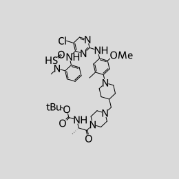 COc1cc(N2CCC(CN3CCN(C(=O)[C@H](C)NC(=O)OC(C)(C)C)CC3)CC2)c(C)cc1Nc1ncc(Cl)c(Nc2ccccc2N(C)[SH]=O)n1